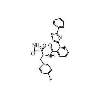 NC(=O)C(=O)C(Cc1ccc(F)cc1)NC(=O)c1cccnc1-c1csc(-c2ccccc2)n1